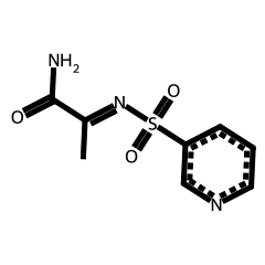 C/C(=N\S(=O)(=O)c1cccnc1)C(N)=O